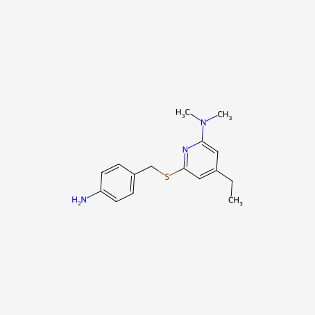 CCc1cc(SCc2ccc(N)cc2)nc(N(C)C)c1